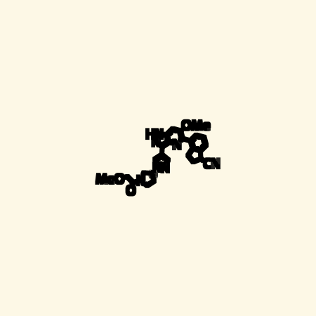 COCC(=O)N1CC[C@H](n2cc(-c3n[nH]c4cc(OC)c(-c5cccc6c5CCC6C#N)nc34)cn2)C1